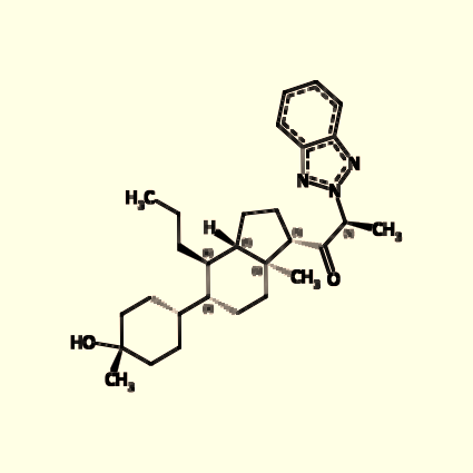 CCC[C@H]1[C@@H]2CC[C@H](C(=O)[C@H](C)n3nc4ccccc4n3)[C@@]2(C)CC[C@@H]1[C@H]1CC[C@@](C)(O)CC1